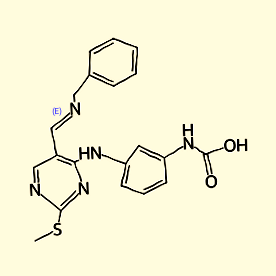 CSc1ncc(/C=N/Cc2ccccc2)c(Nc2cccc(NC(=O)O)c2)n1